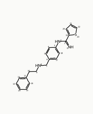 N=C(Nc1ccc(CNCCc2ccccc2)cc1)c1cccs1